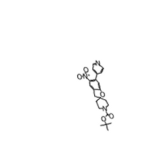 CC(C)(C)OC(=O)N1CCC2(CC1)Cc1cc([N+](=O)[O-])c(-c3ccncc3)cc1O2